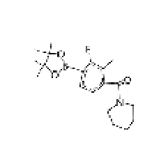 Cc1c(C(=O)N2CCCCC2)ccc(B2OC(C)(C)C(C)(C)O2)c1F